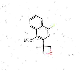 COc1c(C2(C)COC2)cc(F)c2ccccc12